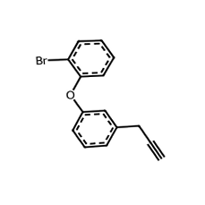 C#CCc1cccc(Oc2ccccc2Br)c1